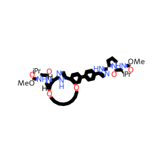 COC(=O)N[C@H](C(=O)N1CCC[C@H]1c1ncc(-c2ccc(-c3ccc4c(c3)OCCCCCCCCO[C@H]3C[C@@H](c5ncc-4[nH]5)N(C(=O)[C@@H](NC(=O)OC)C(C)C)C3)cc2)[nH]1)C(C)C